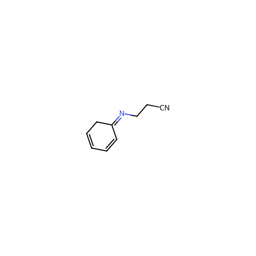 N#CCCN=C1C=CC=CC1